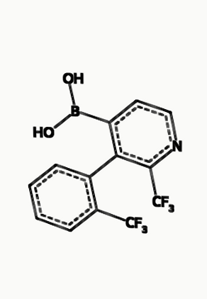 OB(O)c1ccnc(C(F)(F)F)c1-c1ccccc1C(F)(F)F